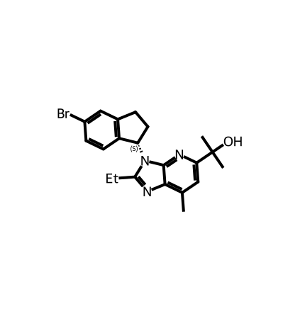 CCc1nc2c(C)cc(C(C)(C)O)nc2n1[C@H]1CCc2cc(Br)ccc21